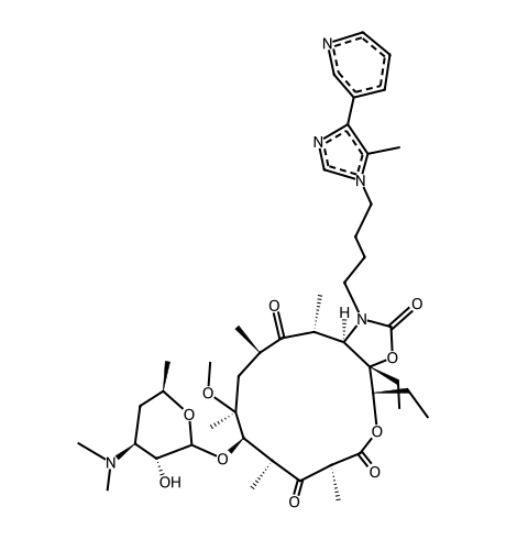 CC[C@H]1OC(=O)[C@H](C)C(=O)[C@H](C)[C@@H](OC2O[C@H](C)C[C@H](N(C)C)[C@H]2O)[C@@](C)(OC)C[C@@H](C)C(=O)[C@H](C)[C@H]2N(CCCCn3cnc(-c4cccnc4)c3C)C(=O)O[C@]12CC